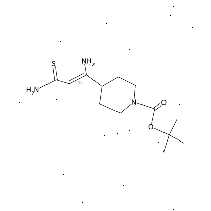 CC(C)(C)OC(=O)N1CCC(/C(N)=C/C(N)=S)CC1